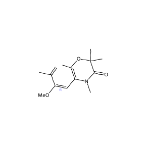 C=C(C)/C(=C\C1=C(C)OC(C)(C)C(=O)N1C)OC